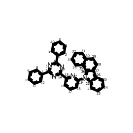 c1ccc(-c2nc(-c3ccccc3)nc(-c3cccc(-n4c5ccccc5c5ccc6ccccc6c54)n3)n2)cc1